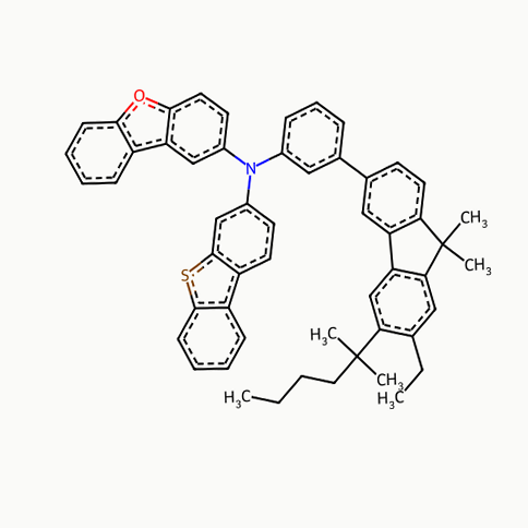 CCCCC(C)(C)c1cc2c(cc1CC)C(C)(C)c1ccc(-c3cccc(N(c4ccc5c(c4)sc4ccccc45)c4ccc5oc6ccccc6c5c4)c3)cc1-2